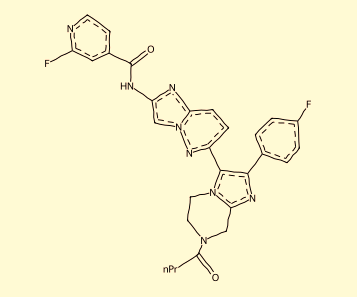 CCCC(=O)N1CCn2c(nc(-c3ccc(F)cc3)c2-c2ccc3nc(NC(=O)c4ccnc(F)c4)cn3n2)C1